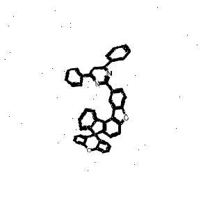 c1ccc(-c2cc(-c3ccccc3)nc(-c3ccc4oc5ccc6c(c5c4c3)-c3ccccc3C63c4ccccc4Oc4ccccc43)n2)cc1